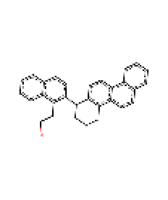 OCCc1c(C2CCCc3c2ccc2c3ccc3ccccc32)ccc2ccccc12